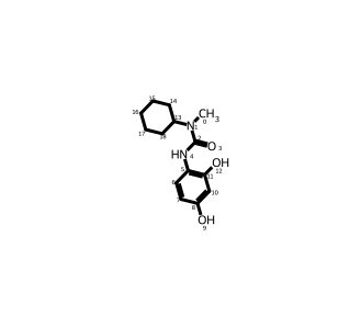 CN(C(=O)Nc1ccc(O)cc1O)C1CCCCC1